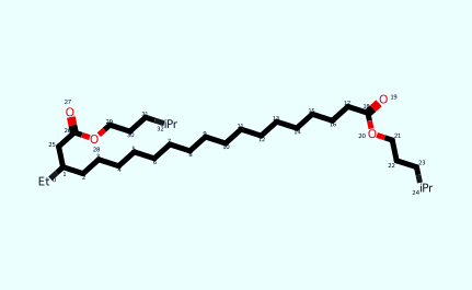 CCC(CCCCCCCCCCCCCCCCC(=O)OCCCC(C)C)CC(=O)OCCCC(C)C